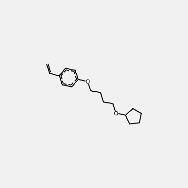 C=Cc1ccc(OCCCCOC2CCCC2)cc1